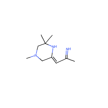 CC(=N)/C=C1/CN(C)CC(C)(C)N1